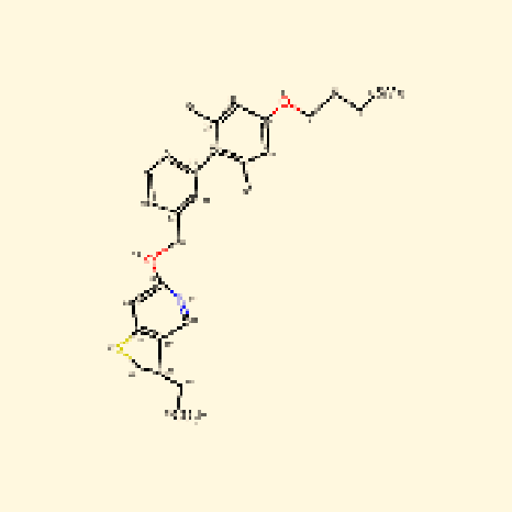 CSCCCOc1cc(C)c(-c2cccc(COc3cc4c(cn3)C(CC(=O)O)CS4)c2)c(C)c1